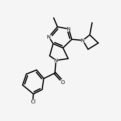 Cc1nc2c(c(N3CCC3C)n1)CN(C(=O)c1cccc(Cl)c1)C2